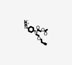 C#CCCOCCN(C(=O)COC(C)=O)[C@H]1CC[C@@H](N=[N+]=[N-])CC1